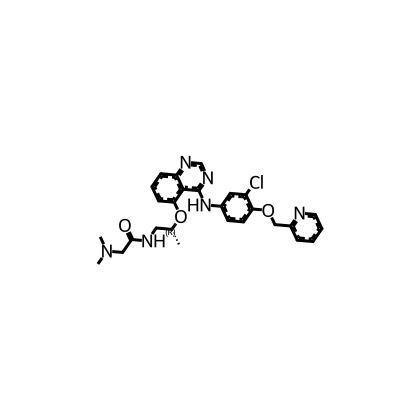 C[C@H](CNC(=O)CN(C)C)Oc1cccc2ncnc(Nc3ccc(OCc4ccccn4)c(Cl)c3)c12